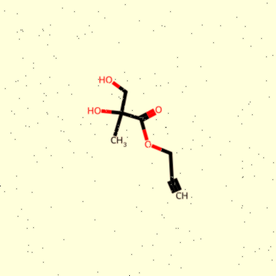 C#CCOC(=O)C(C)(O)CO